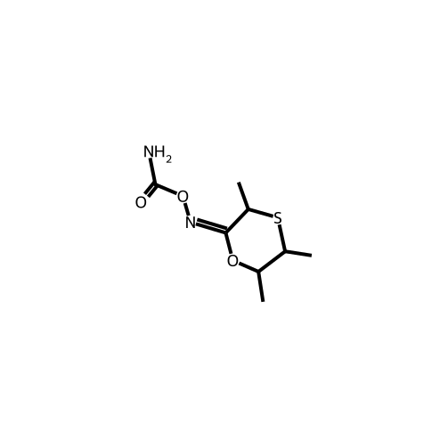 CC1SC(C)C(C)OC1=NOC(N)=O